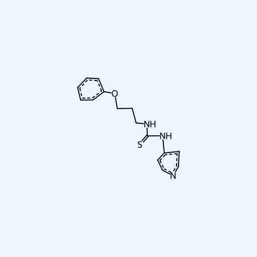 S=C(NCCCOc1ccccc1)Nc1ccncc1